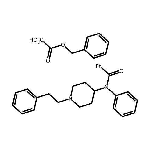 CCC(=O)N(c1ccccc1)C1CCN(CCc2ccccc2)CC1.O=C(O)C(=O)OCc1ccccc1